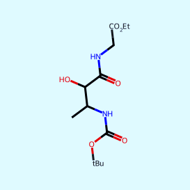 CCOC(=O)CNC(=O)C(O)C(C)NC(=O)OC(C)(C)C